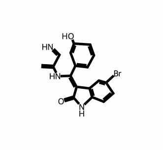 C=C(C=N)N/C(=C1\C(=O)Nc2ccc(Br)cc21)c1cccc(O)c1